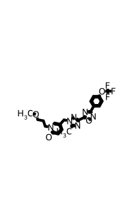 COCCCn1cc(Cn2nc(-c3nc(-c4ccc(OC(F)(F)F)cc4)no3)nc2C)ccc1=O